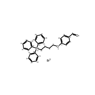 O=Cc1ccc(OCCCC[P+](c2ccccc2)(c2ccccc2)c2ccccc2)cc1.[Br-]